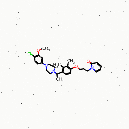 COc1cc(N2CCN(C(C)c3ccc(OCCCn4ccccc4=O)c(C)c3C)CC2)ccc1Cl